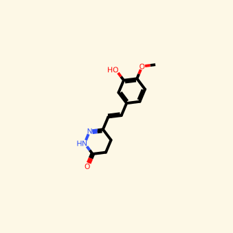 COc1ccc(C=CC2=NNC(=O)CC2)cc1O